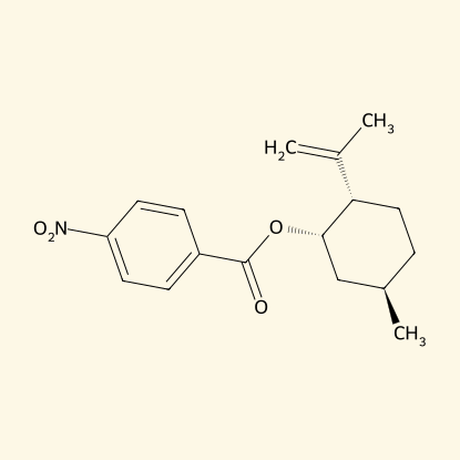 C=C(C)[C@@H]1CC[C@@H](C)C[C@@H]1OC(=O)c1ccc([N+](=O)[O-])cc1